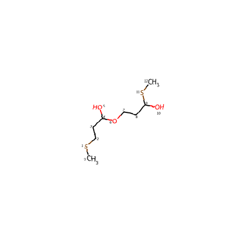 CSCCC(O)OCCC(O)SC